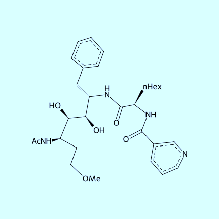 CCCCCC[C@@H](NC(=O)c1cccnc1)C(=O)N[C@@H](Cc1ccccc1)[C@@H](O)[C@H](O)[C@@H](CCOC)NC(C)=O